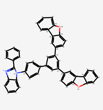 c1ccc(-c2nc3ccccc3n2-c2ccc(-c3cc(-c4ccc5oc6ccccc6c5c4)cc(-c4ccc5oc6ccccc6c5c4)c3)cc2)cc1